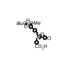 COc1cc(-c2ccc(/C=C/c3nc(-c4ccc(Cl)cc4Cl)cn3Cc3ccc(C(=O)O)cc3)cc2)ccc1NC(=O)OCC(C)C